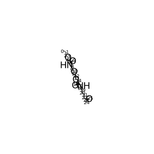 CCCOCC(=O)NCCOCCOCC(=O)NCCCCCC(C)=O